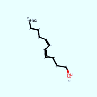 CCCCCCCCC/C=C\C=C/CCCO